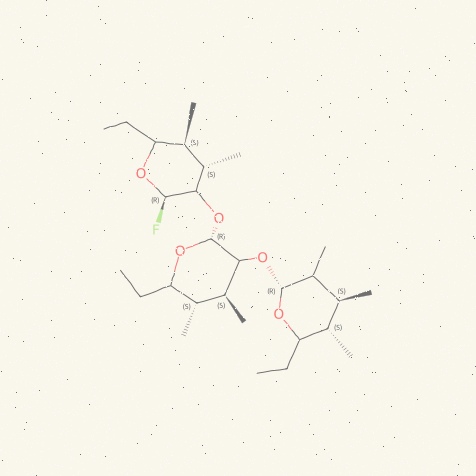 CCC1O[C@H](OC2[C@@H](OC3[C@@H](C)[C@H](C)C(CC)O[C@@H]3F)OC(CC)[C@@H](C)[C@@H]2C)C(C)[C@@H](C)[C@@H]1C